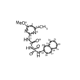 COc1cc(C)nc(NC(=O)NS(=O)(=O)Nc2ccc3ccccc3c2)n1